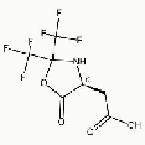 O=C(O)C[C@@H]1NC(C(F)(F)F)(C(F)(F)F)OC1=O